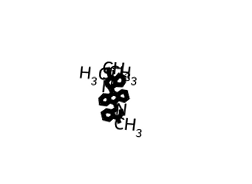 Cc1cnc(-c2c3ccccc3c(-c3ncc([Si](C)(C)C)c4ccccc34)c3ccccc23)c2ccccc12